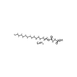 CCCCCCCCCCCCCCC=COC(=O)CCC(=O)O.[CaH2]